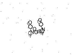 C[C@H]1CC=C(c2ccc3c(c2)CCO3)N(C(=O)OC(C)(C)C)C1.C[C@H]1CCC(c2ccc3c(c2)CCO3)=NC1